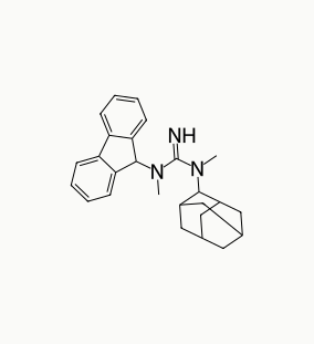 CN(C(=N)N(C)C1C2CC3CC(C2)CC1C3)C1c2ccccc2-c2ccccc21